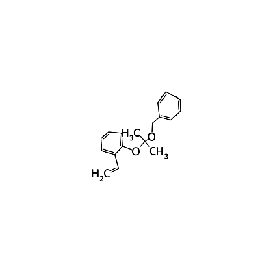 C=Cc1ccccc1OC(C)(C)OCc1ccccc1